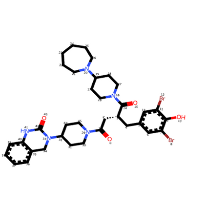 O=C(C[C@@H](Cc1cc(Br)c(O)c(Br)c1)C(=O)N1CCC(N2CCCCCC2)CC1)N1CCC(N2Cc3ccccc3NC2=O)CC1